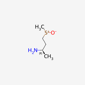 C[C@@H](N)CC[S+](C)[O-]